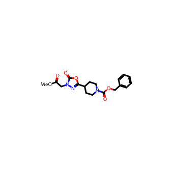 COC(=O)Cn1nc(C2CCN(C(=O)OCc3ccccc3)CC2)oc1=O